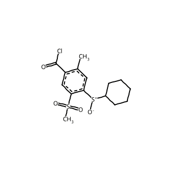 Cc1cc([S+]([O-])C2CCCCC2)c(S(C)(=O)=O)cc1C(=O)Cl